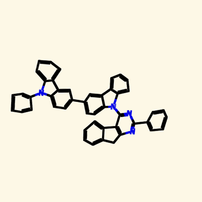 c1ccc(-c2nc3c(c(-n4c5ccccc5c5cc(-c6ccc7c(c6)c6ccccc6n7-c6ccccc6)ccc54)n2)-c2ccccc2C3)cc1